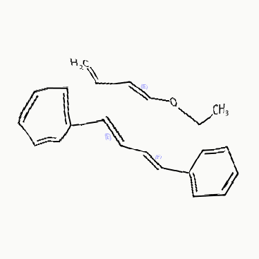 C(/C=C/c1ccccc1)=C\c1ccccc1.C=C/C=C/OCC